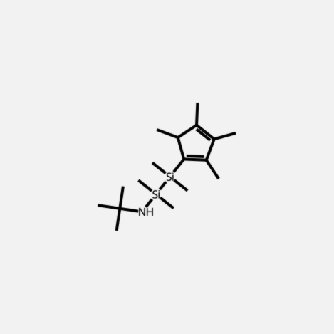 CC1=C(C)C(C)C([Si](C)(C)[Si](C)(C)NC(C)(C)C)=C1C